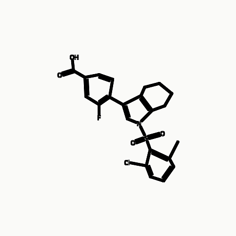 Cc1cccc(Cl)c1S(=O)(=O)n1cc(-c2ccc(C(=O)O)cc2F)c2c1CCCC2